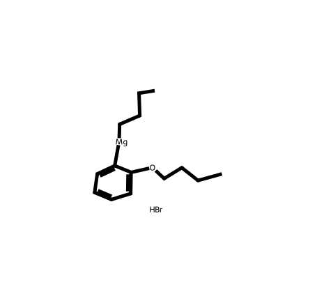 Br.CCCCOc1cccc[c]1[Mg][CH2]CCC